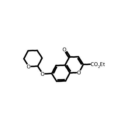 CCOC(=O)c1cc(=O)c2cc(OC3CCCCO3)ccc2o1